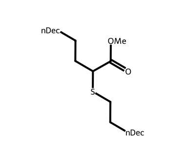 CCCCCCCCCCCCSC(CCCCCCCCCCCC)C(=O)OC